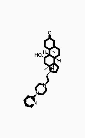 C[C@]12C[C@H](O)[C@H]3[C@@H](CCC4=CC(=O)CC[C@@]43C)[C@@H]1CC[C@@H]2CCN1CCN(c2ccccn2)CC1